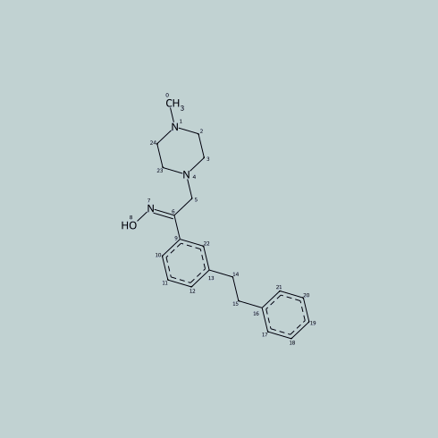 CN1CCN(CC(=NO)c2cccc(CCc3ccccc3)c2)CC1